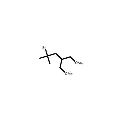 CCC(C)(C)CC(COC)COC